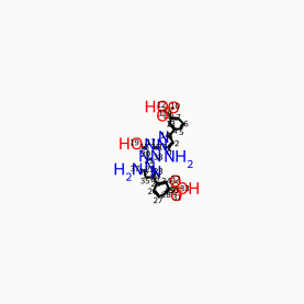 Nc1cc(-c2cccc(S(=O)(=O)O)c2)nn1-c1nc(O)nc(N2N=C(c3cccc(S(=O)(=O)O)c3)CC2N)n1